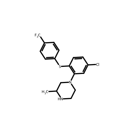 CC1CN(c2cc(Cl)ccc2Sc2ccc(C(F)(F)F)cc2)CCN1